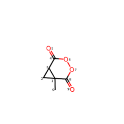 CC12CC1C(=O)OOC2=O